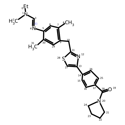 CCN(C)/C=N/c1cc(C)c(Cc2nc(-c3ccc(C(=O)N4CCCC4)cc3)cs2)cc1C